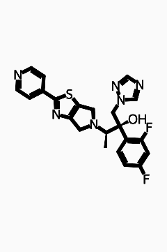 C[C@@H](N1Cc2nc(-c3ccncc3)sc2C1)[C@](O)(Cn1cncn1)c1ccc(F)cc1F